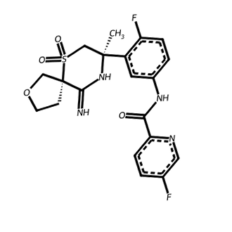 C[C@@]1(c2cc(NC(=O)c3ccc(F)cn3)ccc2F)CS(=O)(=O)[C@@]2(CCOC2)C(=N)N1